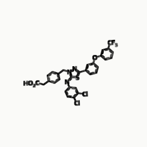 O=C(O)Cc1ccc(Cn2nc(-c3cccc(Oc4cccc(C(F)(F)F)c4)c3)sc2=Nc2ccc(Cl)c(Cl)c2)cc1